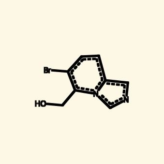 OCc1c(Br)ccc2cncn12